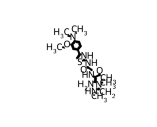 C=C(NC)N(C)/C(N)=C(/NCC(=O)NC1NC(c2ccc(N(CC)CC)c(OCC)c2)=CS1)C(C)=O